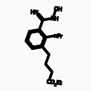 CCCc1c(CCCC(=O)OCC)cccc1C(=N)NO